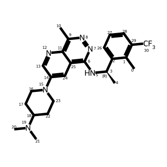 Cc1c([C@@H](C)Nc2nnc(C)c3ncc(N4CCC(N(C)C)CC4)cc23)cccc1C(F)(F)F